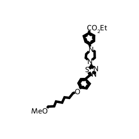 CCOC(=O)c1ccc(N2CCN(c3nnc(-c4ccc(OCCCCCCCOC)cc4)s3)CC2)cc1